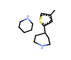 C1CCNCC1.Cc1csc(C2CCNCC2)c1